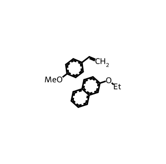 C=Cc1ccc(OC)cc1.CCOc1ccc2ccccc2c1